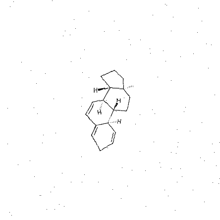 C[C@@]12CCC[C@H]1[C@@H]1C=CC3=CCC=C[C@@H]3[C@H]1CC2